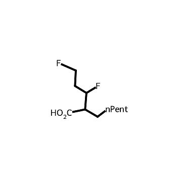 CCCCCCC(C(=O)O)C(F)CCF